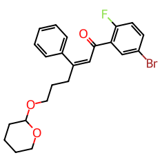 O=C(C=C(CCCOC1CCCCO1)c1ccccc1)c1cc(Br)ccc1F